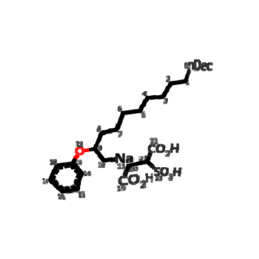 CCCCCCCCCCCCCCCCCCC([CH2][Na])Oc1ccccc1.O=C(O)CC(C(=O)O)S(=O)(=O)O